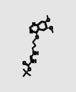 COc1cc2ncnc(OCCCNSNC(=O)OC(C)(C)C)c2cc1OC